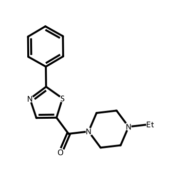 CCN1CCN(C(=O)c2cnc(-c3ccccc3)s2)CC1